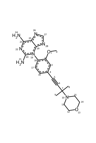 COc1cc(C#CC(C)(C)N2CCOCC2)ccc1-n1c(N)nc(N)c2ncnc1-2